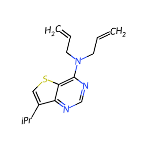 C=CCN(CC=C)c1ncnc2c(C(C)C)csc12